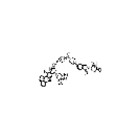 C#Cc1cccc2cccc(-c3ncc4c(N5CC(CC)NC(CC)C5)nc(OCCN5CCN(C(=O)C6CCN(c7ccc8c(c7)CN(C7CCC(=O)NC7=O)C8=O)CC6)CC5)nc4c3F)c12